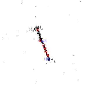 CNCCOCCOCCOCCOCCNC(=O)CCCCCCCCOC(C)C